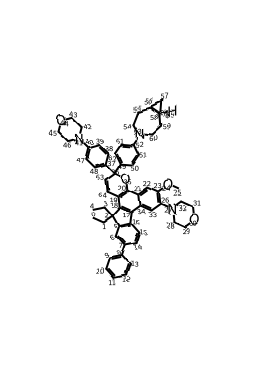 CCC1(CC)c2cc(-c3ccccc3)ccc2-c2c1c1c(c3cc(OC)c(N4CCOCC4)cc23)OC(c2ccc(N3CCOCC3)cc2)(c2ccc(N3CCC4C[C@@H]4CC3)cc2)C=C1